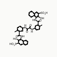 Cc1ccc(NC(=O)C(=O)Nc2ccc(C)c(C(=O)Nc3c(O)c(S(=O)(=O)O)cc4ccccc34)c2)cc1C(=O)Nc1c(O)c(S(=O)(=O)O)cc2ccccc12